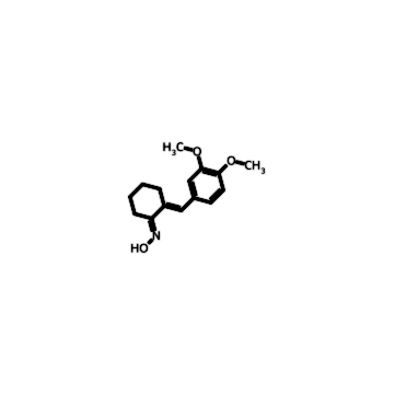 COc1ccc(C=C2CCCCC2=NO)cc1OC